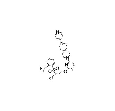 O=S(=O)(c1ccccc1C(F)(F)F)N(CCOc1nccc(N2CCC3(CCN(c4ccncc4)CC3)CC2)n1)C1CC1